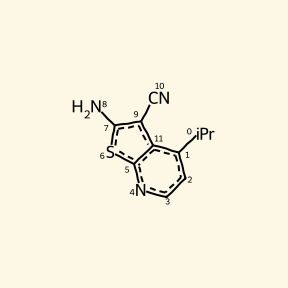 CC(C)c1ccnc2sc(N)c(C#N)c12